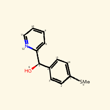 CSc1ccc([C@@H](O)c2ccccn2)cc1